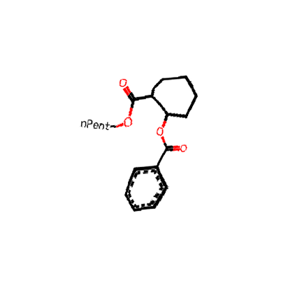 CCCCCOC(=O)C1CCCCC1OC(=O)c1ccccc1